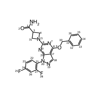 NC(=O)C1CN(c2nc(OCc3ccccc3)c3cnn(-c4ccc(F)cc4F)c3n2)C1